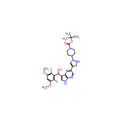 COc1cc(OC)c(F)c(C(O)c2c[nH]c3ncc(C4=CN(C5CCN(C(=O)OC(C)(C)C)CC5)NC4)nc23)c1F